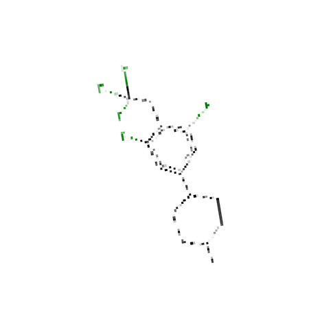 CC1CCC(c2cc(F)c(CC(F)(F)F)c(F)c2)CC1